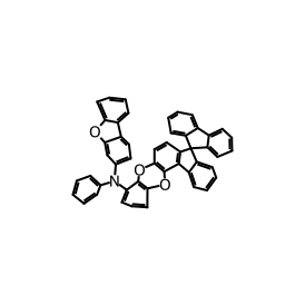 c1ccc(N(c2ccc3c(c2)oc2ccccc23)c2cccc3c2Oc2ccc4c(c2O3)-c2ccccc2C42c3ccccc3-c3ccccc32)cc1